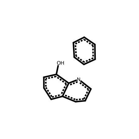 Oc1cccc2cccnc12.c1ccccc1